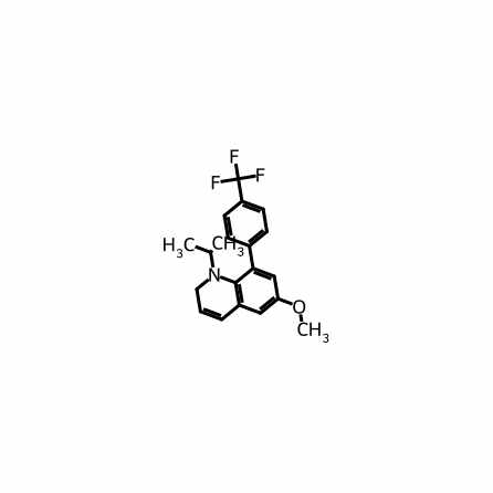 COc1cc2c(c(-c3ccc(C(F)(F)F)cc3)c1)N(C(C)C)CC=C2